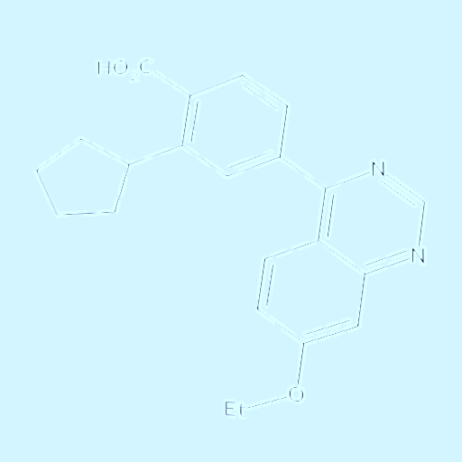 CCOc1ccc2c(-c3ccc(C(=O)O)c(C4CCCC4)c3)ncnc2c1